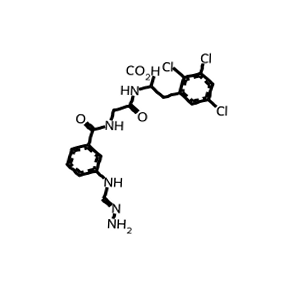 NN=CNc1cccc(C(=O)NCC(=O)NC(Cc2cc(Cl)cc(Cl)c2Cl)C(=O)O)c1